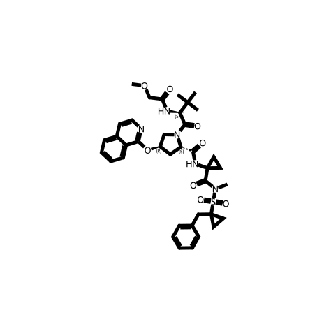 COCC(=O)N[C@H](C(=O)N1C[C@H](Oc2nccc3ccccc23)C[C@H]1C(=O)NC1(C(=O)N(C)S(=O)(=O)C2(Cc3ccccc3)CC2)CC1)C(C)(C)C